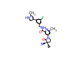 Cc1cc(N2CCC(C#N)(C3CC3)C2=O)cc(C(=O)NCc2cc(F)cc(C3=CC(C)NC=C3)c2)n1